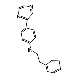 c1ccc(CCNc2ccc(-c3cnccn3)cc2)cc1